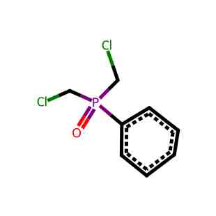 O=P(CCl)(CCl)c1ccccc1